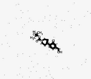 CC(C)(C)OC(=O)N1CC=C(c2ccc(CO)cc2Cl)CC1